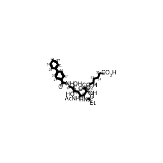 CCC(=O)N[C@@H]1[C@@H](NC(C)=O)[C@H]([C@H](O)[C@H](O)CNC(=O)c2ccc(-c3ccccc3)cc2)O[C@@](OCCCCCC(=O)O)(C(=O)O)[C@H]1O